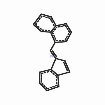 C1=Cc2ccccc2/C1=C/c1cccc2ccccc12